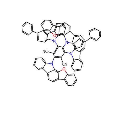 N#Cc1c(-n2c3ccccc3c3cc(-c4ccccc4)ccc32)c(-n2c3ccccc3c3ccc4c5ccccc5oc4c32)c(-n2c3ccccc3c3cc(-c4ccccc4)ccc32)c(C#N)c1-n1c2ccccc2c2ccc3c4ccccc4oc3c21